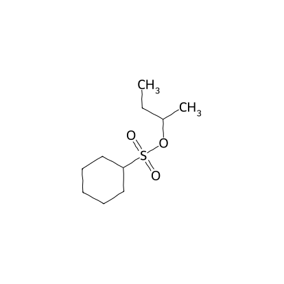 CCC(C)OS(=O)(=O)C1CCCCC1